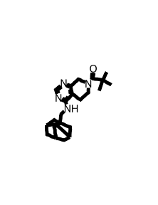 CC(C)(C)C(=O)N1CCc2c(ncnc2NCC23CC4CC(CC(C4)C2)C3)C1